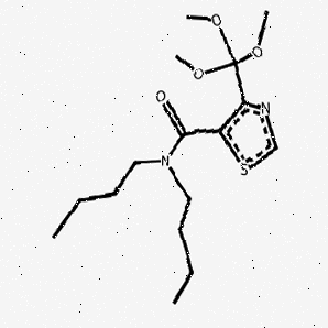 CCCCN(CCCC)C(=O)c1scnc1C(OC)(OC)OC